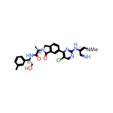 CN/C=C(\C=N)Nc1ncc(Cl)c(-c2ccc3c(c2)C(=O)N([C@H](C)C(=O)N[C@H](CO)c2cccc(C)c2)C3)n1